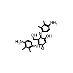 Cc1c(N)ccc(/N=C2\C(O)=CC(=O)C(Nc3ccc(N)c(C)c3C)=C2CO)c1C